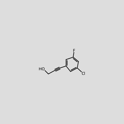 OCC#Cc1cc(F)cc(Cl)c1